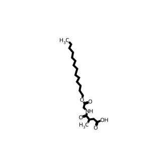 CCCCCCCCCCCCCCOC(=O)CNC(=O)C(C)CC(=O)O